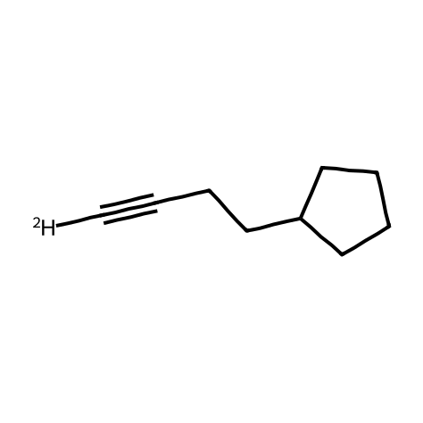 [2H]C#CCCC1CCCC1